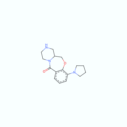 O=C1c2cccc(N3CCCC3)c2OCC2CNCCN12